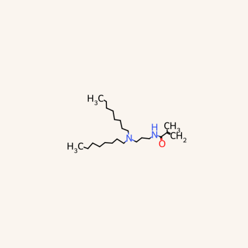 C=C(C)C(=O)NCCCN(CCCCCCCC)CCCCCCCC